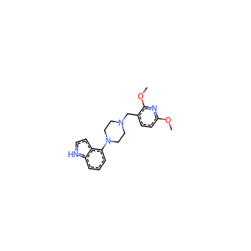 COc1ccc(CN2CCN(c3cccc4[nH]ccc34)CC2)c(OC)n1